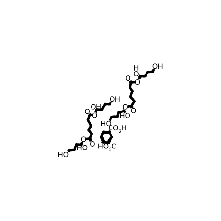 O=C(CCCCC(=O)OC(O)CCCO)OC(O)CCCO.O=C(CCCCC(=O)OC(O)CCCO)OC(O)CCCO.O=C(O)c1ccc(C(=O)O)cc1